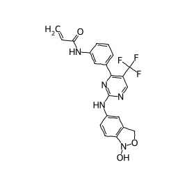 C=CC(=O)Nc1cccc(-c2nc(Nc3ccc4c(c3)CON4O)ncc2C(F)(F)F)c1